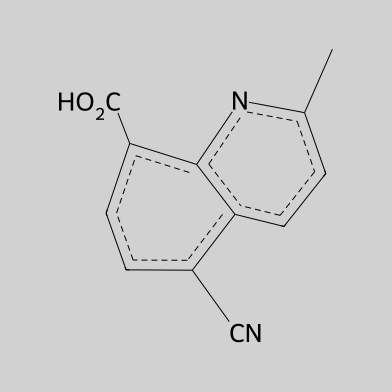 Cc1ccc2c(C#N)ccc(C(=O)O)c2n1